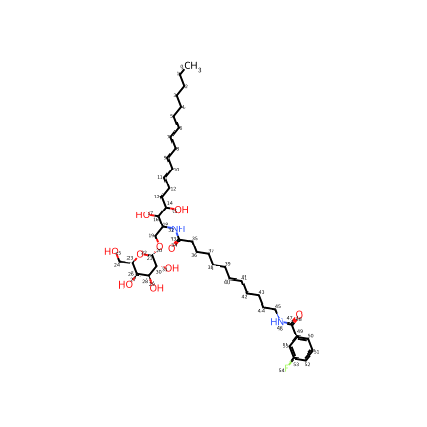 CCCCCCCCCCCCCCC(O)C(O)C(CO[C@H]1O[C@H](CO)[C@H](O)[C@H](O)[C@H]1O)NC(=O)CCCCCCCCCCCNC(=O)c1cccc(F)c1